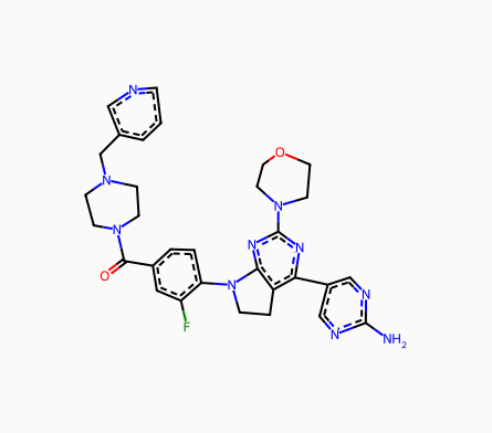 Nc1ncc(-c2nc(N3CCOCC3)nc3c2CCN3c2ccc(C(=O)N3CCN(Cc4cccnc4)CC3)cc2F)cn1